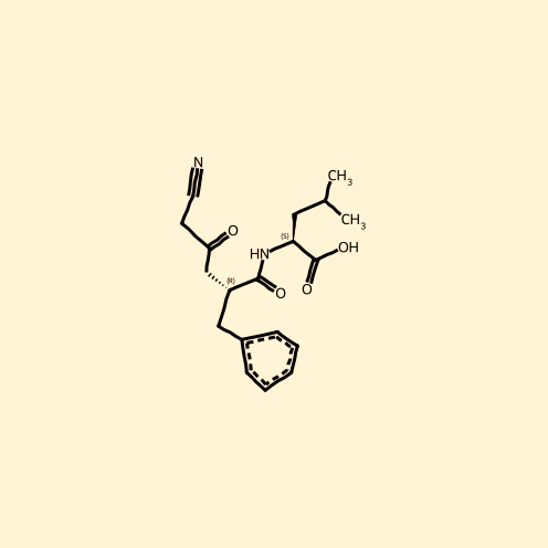 CC(C)C[C@H](NC(=O)[C@@H](CC(=O)CC#N)Cc1ccccc1)C(=O)O